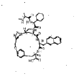 CN[C@@H](C)C(=O)N[C@H](C(=O)N1C[C@@H]2C[C@H]1C(=O)N[C@@H](Cc1ccc3ccccc3c1)C(=O)N[C@H](C(=O)O)Cc1ccc(cc1)OCc1cn2nn1)C1CCCCC1